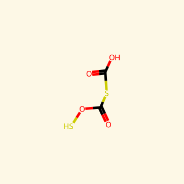 O=C(O)SC(=O)OS